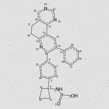 O=C(O)NC1(c2ccc(-c3nc4c(cc3-c3ccccc3)-c3ncncc3CC4)cc2)CCC1